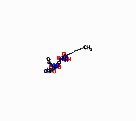 CCCCCCCCCCCCCCNC(=O)[C@@H]1CN(C(=O)c2ccc(C(=O)N3C[C@@H](C(=O)N[C@H]4C[C@@H]4c4ccccc4)[C@H](C(=O)N[C@H]4C[C@@H]4c4ccccc4)C3)cc2)C[C@H]1O